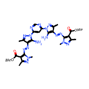 COC(=O)c1c(C)nn(C)c1/N=N/c1c(C)nn(-c2cc(-n3nc(C)c(/N=N/c4c(C(=O)OC)c(C)nn4C)c3N)ncn2)c1N